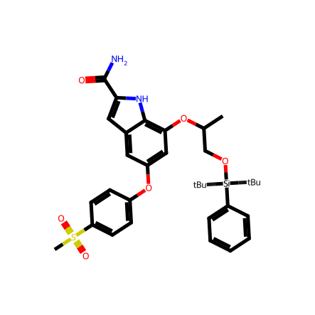 CC(CO[Si](c1ccccc1)(C(C)(C)C)C(C)(C)C)Oc1cc(Oc2ccc(S(C)(=O)=O)cc2)cc2cc(C(N)=O)[nH]c12